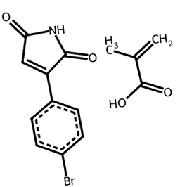 C=C(C)C(=O)O.O=C1C=C(c2ccc(Br)cc2)C(=O)N1